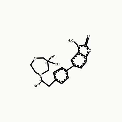 CCC[C@]1(O)COCCN([C@H](C#N)Cc2ccc(-c3ccc4oc(=O)n(C)c4c3)cc2)C1